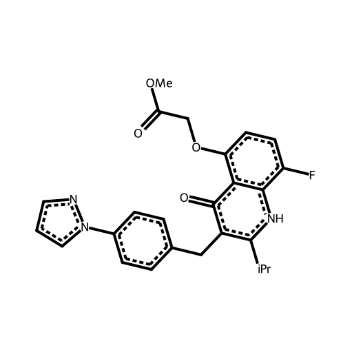 COC(=O)COc1ccc(F)c2[nH]c(C(C)C)c(Cc3ccc(-n4cccn4)cc3)c(=O)c12